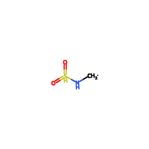 [CH2]N[SH](=O)=O